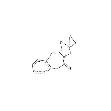 O=C1Cc2ccccc2CN2CC3(CC3)CN12